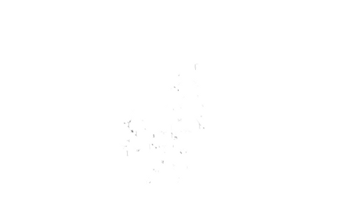 COc1ncc(F)cc1Cc1ncc(NC(=O)[C@@H](NC(=O)c2ccnn2C(C)C)C(C2CC2)C2CC2)s1